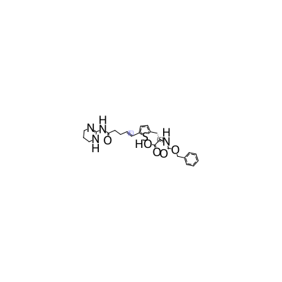 O=C(CC/C=C/c1ccc(C[C@H](NC(=O)OCc2ccccc2)C(=O)O)s1)NC1=NCCCN1